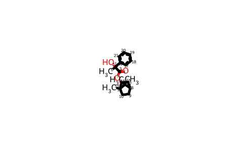 CC(O)(C(=O)OC1CC2CCC1(C)C2(C)C)c1ccccc1